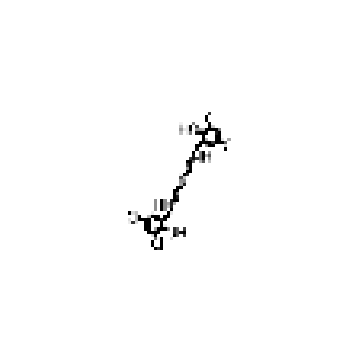 Oc1c(Cl)cc(Cl)cc1CNCCCCCCNCc1cc(Cl)cc(Cl)c1O